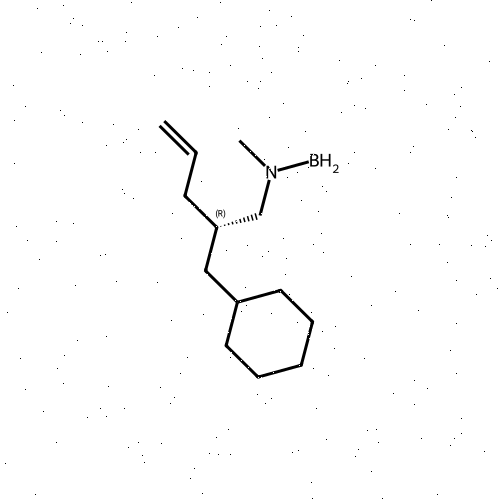 BN(C)C[C@@H](CC=C)CC1CCCCC1